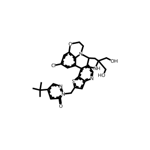 CC(C)(C)c1cnn(Cc2cc3nccc(-c4cc(Cl)cc5c4N(C4CNC(CO)(CO)C4)CCO5)c3s2)c(=O)c1